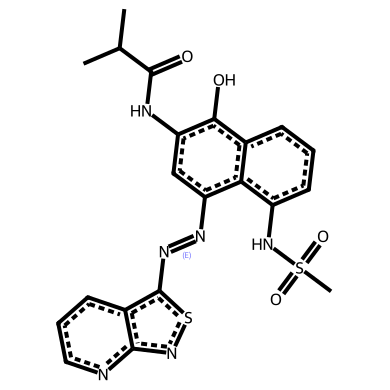 CC(C)C(=O)Nc1cc(/N=N/c2snc3ncccc23)c2c(NS(C)(=O)=O)cccc2c1O